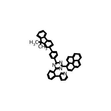 CC1(C)c2ccccc2-c2ccc(-c3ccc(-c4nc(-c5ccccc5-c5cccnc5)nc(-c5ccc6ccc7cccc8ccc5c6c78)n4)cc3)cc21